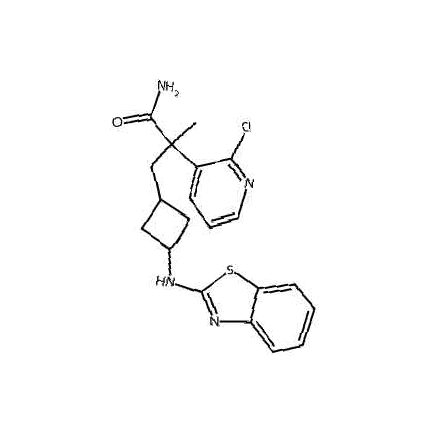 CC(CC1CC(Nc2nc3ccccc3s2)C1)(C(N)=O)c1cccnc1Cl